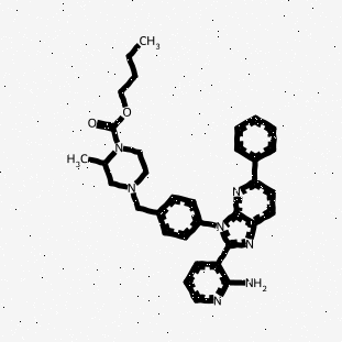 CCCCOC(=O)N1CCN(Cc2ccc(-n3c(-c4cccnc4N)nc4ccc(-c5ccccc5)nc43)cc2)CC1C